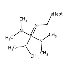 CCCCCCCCN=P(N(C)C)(N(C)C)N(C)C